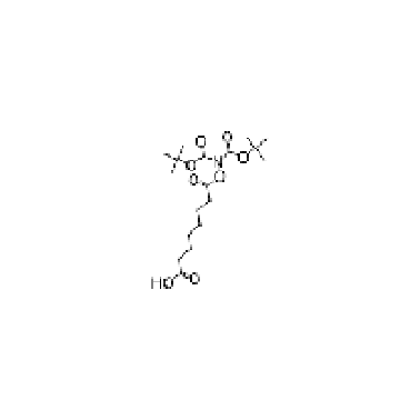 CC(C)(C)OC(=O)N(OC(=O)CCCCCCC(=O)O)C(=O)OC(C)(C)C